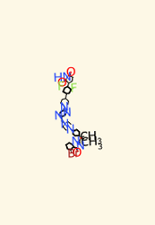 CC1(C)c2ccc(N3CCN(Cc4cnc(N5CCC(c6cc(F)c(C7CCC(=O)NC7=O)c(F)c6)CC5)cn4)CC3)cc2-n2c1nc(=O)c1c(Br)cccc12